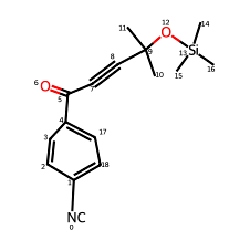 [C-]#[N+]c1ccc(C(=O)C#CC(C)(C)O[Si](C)(C)C)cc1